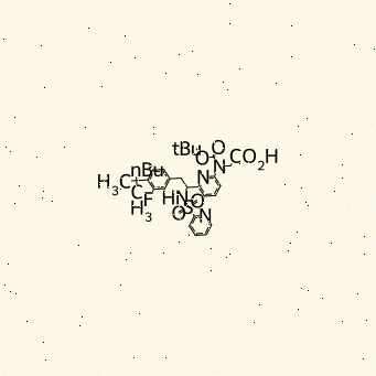 CCCCC(C)(C)c1ccc(CC(NS(=O)(=O)c2ccccn2)c2cccc(N(CC(=O)O)C(=O)OC(C)(C)C)n2)cc1F